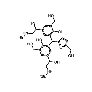 CC(C)(C)NCC(O)c1cc(CO)c(O)c(C(c2ccc(CO)o2)c2cc(C(O)CNC(C)(C)C)cc(CO)c2O)c1